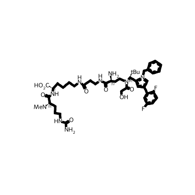 CN[C@@H](CCCNC(N)=O)C(=O)N[C@@H](CCCCNC(=O)CCNC(=O)[C@@H](N)CCN(C(=O)CO)[C@@H](c1cc(-c2cc(F)ccc2F)cn1Cc1ccccc1)C(C)(C)C)C(=O)O